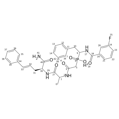 CC(NC(=O)CP(=O)(O)C(Cc1ccccc1)NC(=O)c1cccc(F)c1)C(=O)N[C@@H](C/C=C/c1ccccc1)C(N)=O